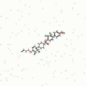 C=CCCOc1ccc(C2CCC(C(=O)Oc3ccc(-c4ccc(OCC)cc4)c(F)c3F)CC2)c(F)c1F